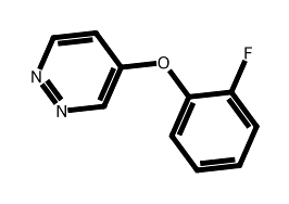 Fc1ccccc1Oc1ccnnc1